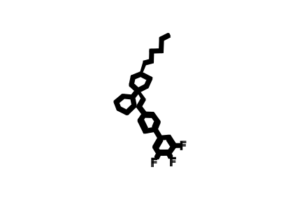 CCCCCC[C@H]1CC[C@](CCc2ccc(-c3cc(F)c(F)c(F)c3)cc2)(C2CCCCC2)CC1